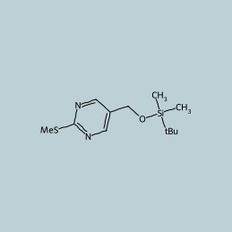 CSc1ncc(CO[Si](C)(C)C(C)(C)C)cn1